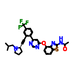 CC(=O)Nc1nc2c(Oc3cc(-c4ccc(C(F)(F)F)cc4C#C[C@@H]4CCCN4CC(C)C)ncn3)cccc2s1